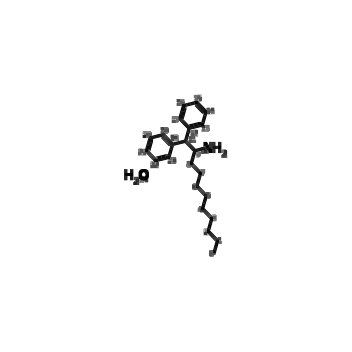 CCCCCCCCCC(N)C(c1ccccc1)c1ccccc1.O